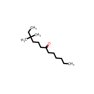 CCCCCCC(=O)CCCC(C)(C)CC